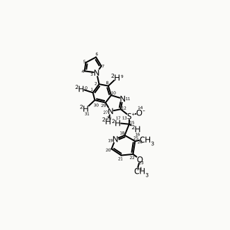 [2H]c1c(-n2cccc2)c([2H])c2nc([S+]([O-])C([2H])([2H])c3nccc(OC)c3C)n([2H])c2c1[2H]